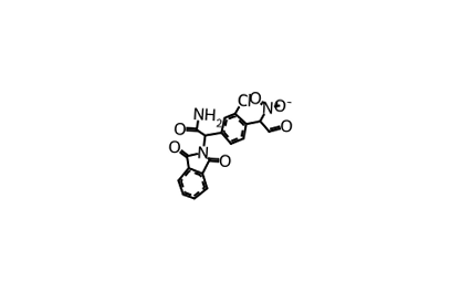 NC(=O)C(c1ccc(C(C=O)[N+](=O)[O-])c(Cl)c1)N1C(=O)c2ccccc2C1=O